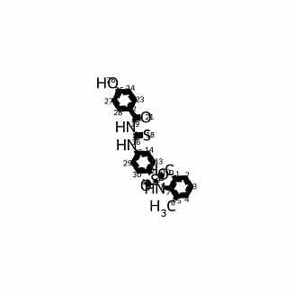 Cc1cccc(C)c1NS(=O)(=O)c1ccc(NC(=S)NC(=O)c2ccc(O)cc2)cc1